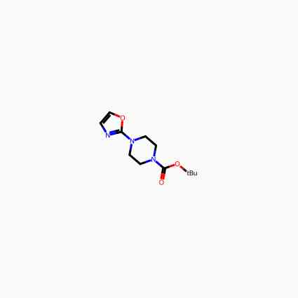 CC(C)(C)OC(=O)N1CCN(c2ncco2)CC1